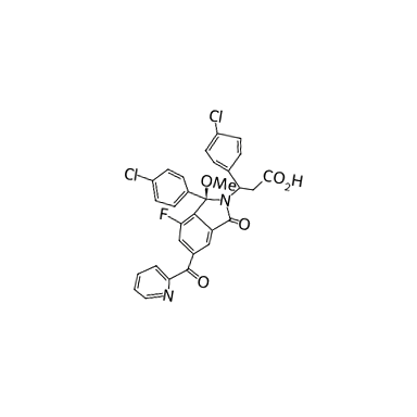 CO[C@]1(c2ccc(Cl)cc2)c2c(F)cc(C(=O)c3ccccn3)cc2C(=O)N1C(CC(=O)O)c1ccc(Cl)cc1